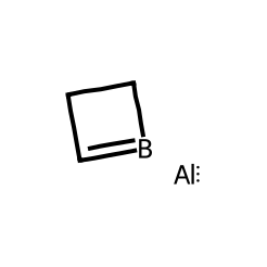 B1=CCC1.[Al]